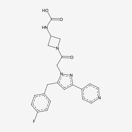 O=C(O)NC1CN(C(=O)Cn2nc(-c3ccncc3)cc2Cc2ccc(F)cc2)C1